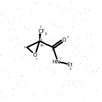 CCNC(=O)[C@@]1(C(F)(F)F)CO1